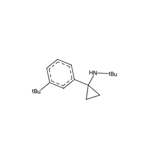 CC(C)(C)NC1(c2cccc(C(C)(C)C)c2)CC1